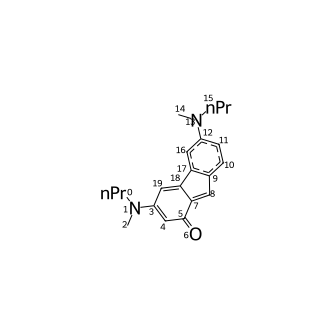 CCCN(C)C1=CC(=O)C2=Cc3ccc(N(C)CCC)cc3C2=C1